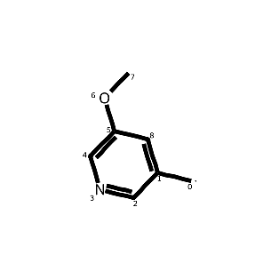 [CH2]c1cncc(OC)c1